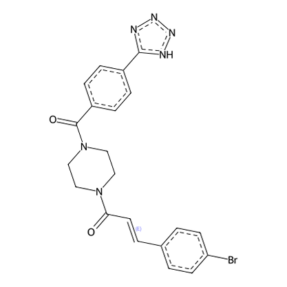 O=C(/C=C/c1ccc(Br)cc1)N1CCN(C(=O)c2ccc(-c3nnn[nH]3)cc2)CC1